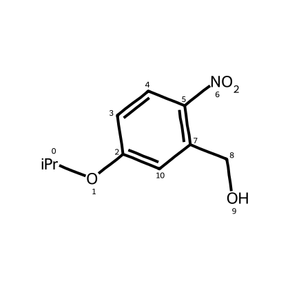 CC(C)Oc1ccc([N+](=O)[O-])c(CO)c1